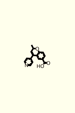 CC1C=C(c2ccncc2)c2cc(C(=O)O)ccc2O1